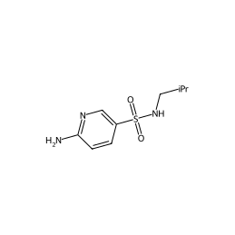 CC(C)CNS(=O)(=O)c1ccc(N)nc1